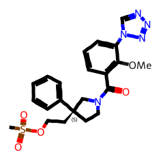 COc1c(C(=O)N2CC[C@](CCOS(C)(=O)=O)(c3ccccc3)C2)cccc1-n1cnnn1